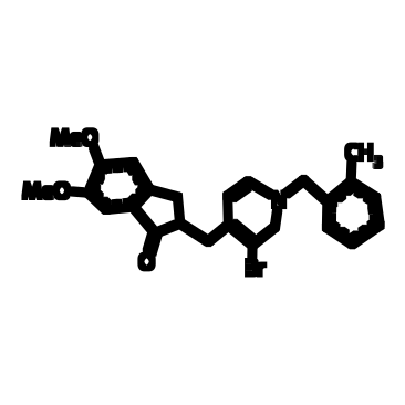 COc1cc2c(cc1OC)C(=O)C(CC1=C(Br)CN(Cc3ccccc3C)C=C1)C2